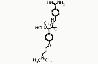 COC(C(=O)NCc1ccc(C(=N)N)cc1)c1ccc(OCCCN(C)C)cc1.Cl